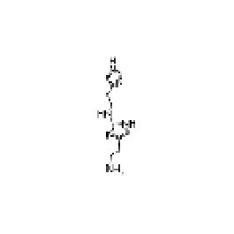 NCCc1c[nH]c(NCCc2c[nH]cn2)n1